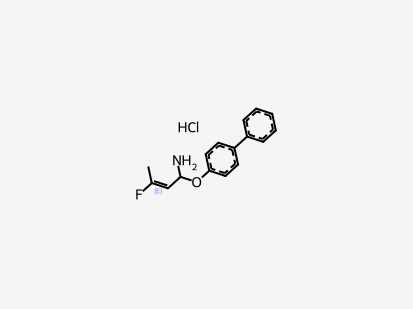 C/C(F)=C\C(N)Oc1ccc(-c2ccccc2)cc1.Cl